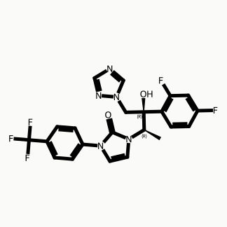 C[C@@H](n1ccn(-c2ccc(C(F)(F)F)cc2)c1=O)[C@](O)(Cn1cncn1)c1ccc(F)cc1F